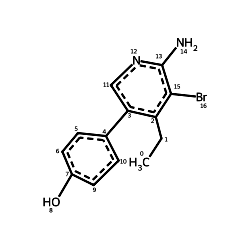 CCc1c(-c2ccc(O)cc2)cnc(N)c1Br